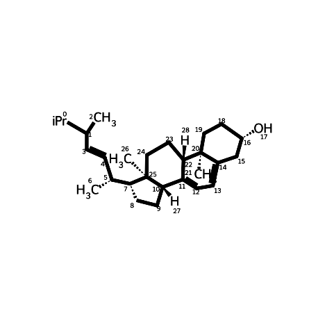 CC(C)C(C)C=C[C@@H](C)[C@H]1CC[C@H]2C3=CC=C4C[C@@H](O)CC[C@]4(C)[C@H]3CC[C@]12C